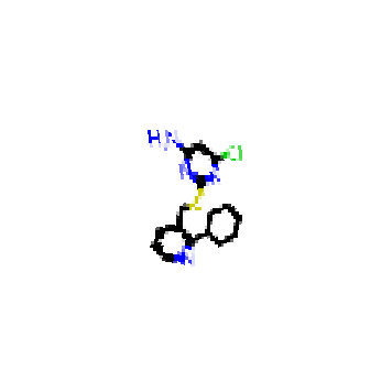 Nc1cc(Cl)nc(SCc2cccnc2C2CCCCC2)n1